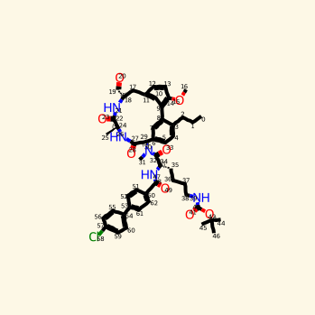 CCCc1ccc2cc1-c1cc(ccc1OC)C[C@@H](C=O)NC(=O)[C@H](C)NC(=O)[C@H]2N(C)C(=O)[C@H](CCCCNC(=O)OC(C)(C)C)NC(=O)c1ccc(-c2ccc(Cl)cc2)cc1